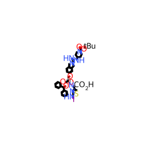 CC(C)(C)OC(=O)N1CCC(NC(=N)N2Cc3ccc(OC[C@H](O/N=C(\C(=O)O)c4csc(NI)n4)C(=O)OC(c4ccccc4)c4ccccc4)cc3C2)CC1